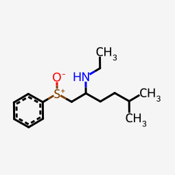 CCNC(CCC(C)C)C[S+]([O-])c1ccccc1